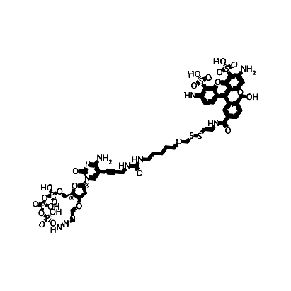 [N-]=[N+]=NCOC1C[C@H](n2cc(C#CCNC(=O)NCCCCCOCSSCCNC(=O)c3ccc(C(=O)O)c(-c4c5ccc(=N)c(S(=O)(=O)O)c-5oc5c(S(=O)(=O)O)c(N)ccc45)c3)c(N)nc2=O)O[C@@H]1COP(=O)(O)OP(=O)(O)OP(=O)(O)O